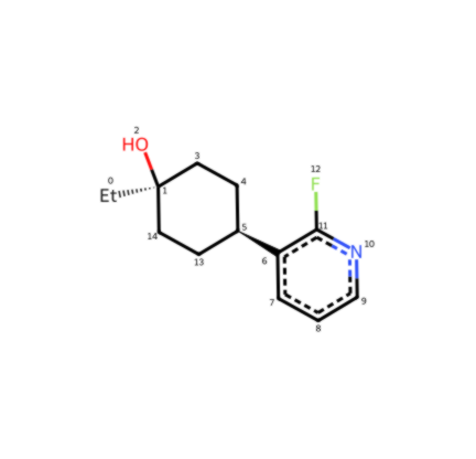 CC[C@]1(O)CC[C@@H](c2cccnc2F)CC1